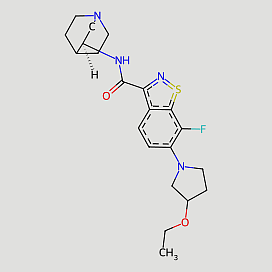 CCOC1CCN(c2ccc3c(C(=O)N[C@@H]4CN5CCC4CC5)nsc3c2F)C1